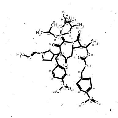 CN=CN1CCC(SC(=O)CC2C(C(C)OC(=O)OCc3ccc([N+](=O)[O-])cc3)C(=O)N2C(C(=O)OCc2ccc([N+](=O)[O-])cc2)=P(OC(C)C)(OC(C)C)OC(C)C)C1